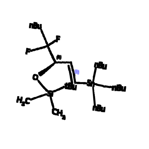 CCCCC(F)(F)[C@@H](/C=[CH]/[Sn]([CH2]CCC)([CH2]CCC)[CH2]CCC)O[Si](C)(C)C(C)(C)C